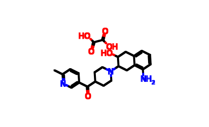 Cc1ccc(C(=O)C2CCN(C3Cc4c(N)cccc4CC3O)CC2)cn1.O=C(O)C(=O)O